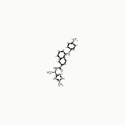 C[C@@H](NC(=O)c1ccc2c(Oc3ccc(C(F)(F)F)cc3)cccc2c1)c1nnn(C)n1